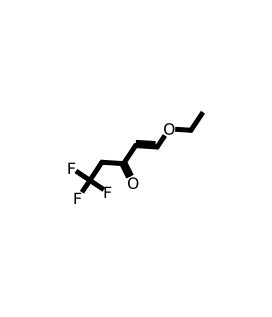 CCO/C=C/C(=O)CC(F)(F)F